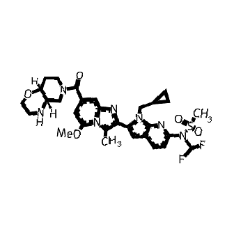 COc1cc(C(=O)N2CC[C@H]3OCCN[C@H]3C2)cc2nc(-c3cc4ccc(N(C(F)F)S(C)(=O)=O)nc4n3CC3CC3)c(C)n12